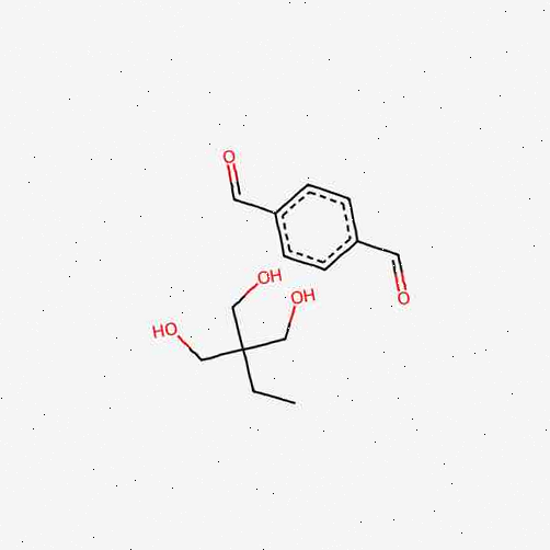 CCC(CO)(CO)CO.O=Cc1ccc(C=O)cc1